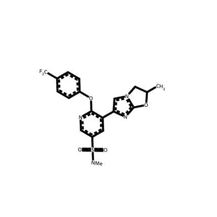 CNS(=O)(=O)c1cnc(Oc2ccc(C(F)(F)F)cc2)c(-c2cn3c(n2)OC(C)C3)c1